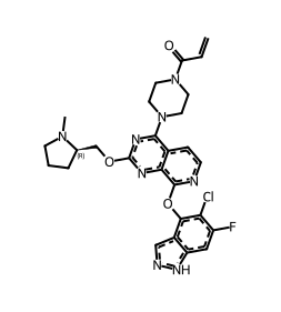 C=CC(=O)N1CCN(c2nc(OC[C@H]3CCCN3C)nc3c(Oc4c(Cl)c(F)cc5[nH]ncc45)nccc23)CC1